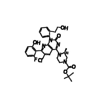 C[C@H]1CN(C(=O)OC(C)(C)C)CCN1c1nc(=O)n(-c2ccccc2CCO)c2nc(-c3c(O)cccc3F)c(Cl)cc12